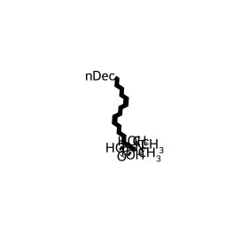 CCCCCCCCCCCCCC/C=C\CC/C=C\CCCCC(O)(C[N+](C)(C)C)P(=O)(O)O